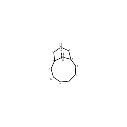 C1CCCC2CNCC(CC1)N2